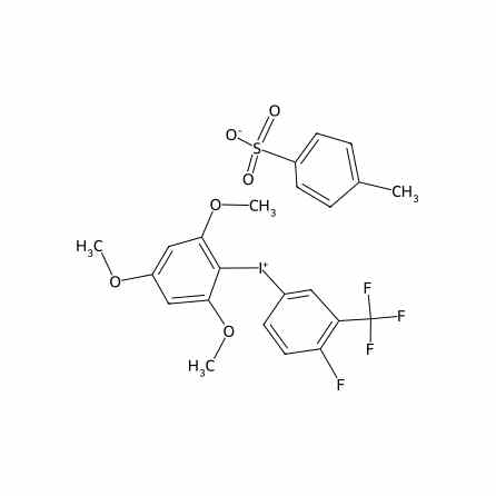 COc1cc(OC)c([I+]c2ccc(F)c(C(F)(F)F)c2)c(OC)c1.Cc1ccc(S(=O)(=O)[O-])cc1